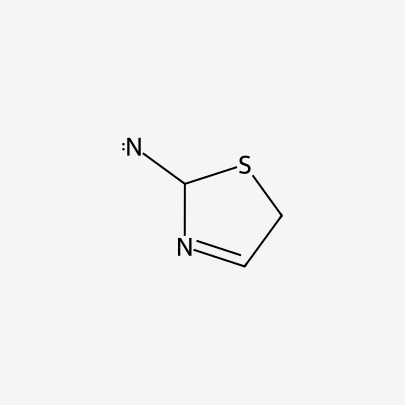 [N]C1N=CCS1